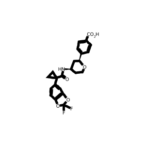 O=C(O)c1ccc([C@@H]2C[C@H](NC(=O)C3(c4ccc5c(c4)OC(F)(F)O5)CC3)CCO2)cc1